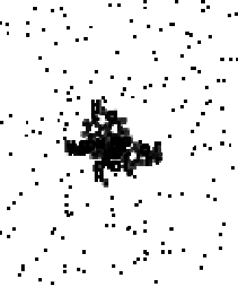 COc1ccc(C)cc1C1(N2C[C@H](O)C[C@H]2C(=O)N(C)C)C(=O)N(S(=O)(=O)c2cccc(OC(F)(F)F)c2)c2ccc(Cl)cc21